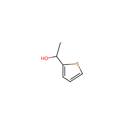 [CH2]C(O)c1cccs1